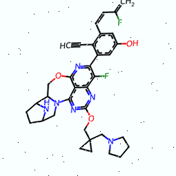 C#Cc1c(/C=C\C(=C)F)cc(O)cc1-c1nc2c3c(nc(OCC4(CN5CCCC5)CC4)nc3c1F)N1CC3CCC(N3)C1CO2